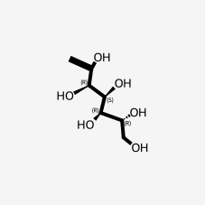 C=C(O)[C@H](O)[C@@H](O)[C@H](O)[C@H](O)CO